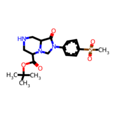 CC(C)(C)OC(=O)C1CNCC2C(=O)N(c3ccc(S(C)(=O)=O)cc3)CN12